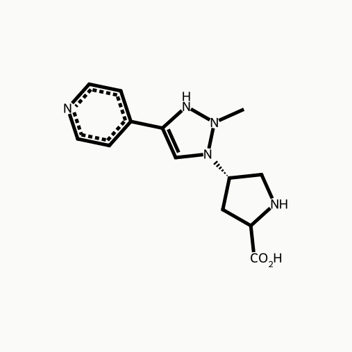 CN1NC(c2ccncc2)=CN1[C@@H]1CNC(C(=O)O)C1